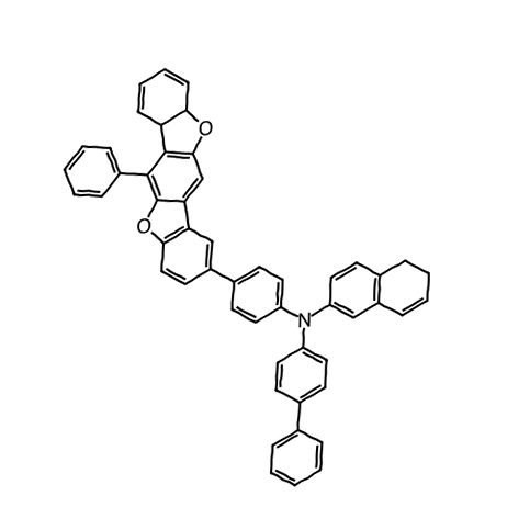 C1=CC2Oc3cc4c(oc5ccc(-c6ccc(N(c7ccc(-c8ccccc8)cc7)c7ccc8c(c7)C=CCC8)cc6)cc54)c(-c4ccccc4)c3C2C=C1